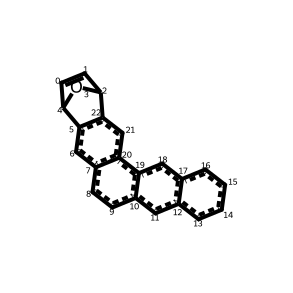 C1=CC2OC1c1cc3ccc4cc5ccccc5cc4c3cc12